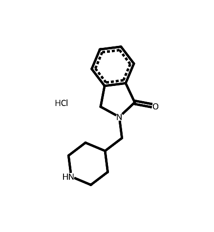 Cl.O=C1c2ccccc2CN1CC1CCNCC1